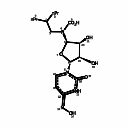 CCCC(CCC)CN(C(=O)O)[C@@H]1O[C@@H](n2cc/c(=N/O)[nH]c2=O)[C@H](O)[C@@H]1O